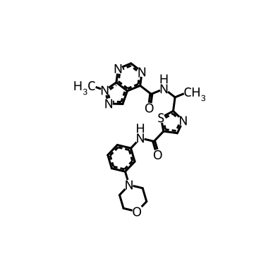 CC(NC(=O)c1ncnc2c1cnn2C)c1ncc(C(=O)Nc2cccc(N3CCOCC3)c2)s1